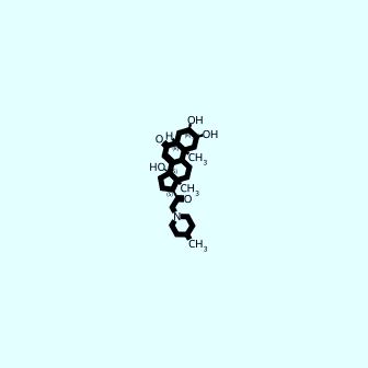 CC1CCN(CC(=O)[C@H]2CC[C@@]3(O)C4=CC(=O)[C@@H]5C[C@@H](O)[C@@H](O)C[C@]5(C)C4CC[C@]23C)CC1